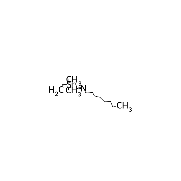 C=C[Si](C)(C)CC=NCCCCCCCC